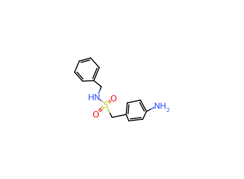 Nc1ccc(CS(=O)(=O)NCc2ccccc2)cc1